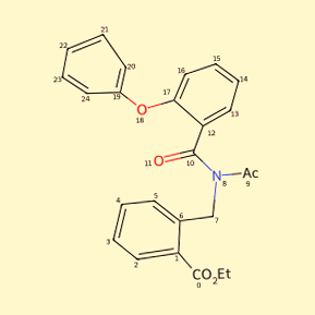 CCOC(=O)c1ccccc1CN(C(C)=O)C(=O)c1ccccc1Oc1ccccc1